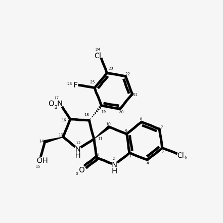 O=C1Nc2cc(Cl)ccc2C[C@]12N[C@@H](CO)C([N+](=O)[O-])[C@@H]2c1cccc(Cl)c1F